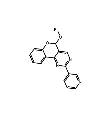 CCOC1Oc2ccccc2-c2nc(-c3cccnc3)ncc21